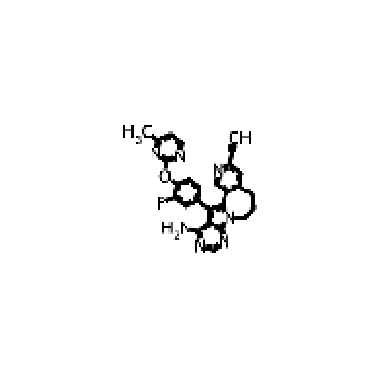 C#Cc1cc2c(cn1)-c1c(-c3ccc(Oc4nccc(C)n4)c(F)c3)c3c(N)ncnc3n1CCC2